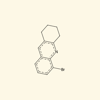 Brc1cccc2cc3c(nc12)CCCC3